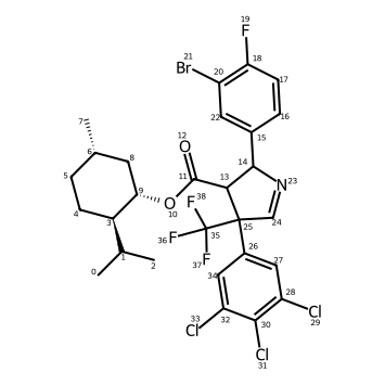 CC(C)[C@H]1CC[C@H](C)C[C@@H]1OC(=O)C1C(c2ccc(F)c(Br)c2)N=CC1(c1cc(Cl)c(Cl)c(Cl)c1)C(F)(F)F